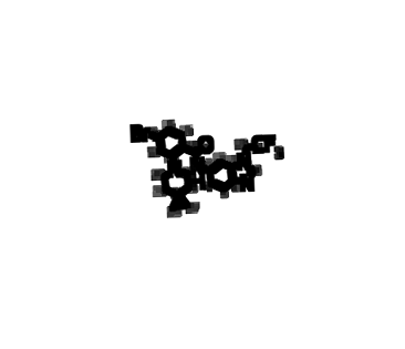 O=C(Nc1ccc2ncn(CC(F)(F)F)c2c1)c1ccc(Br)cc1N1CCC2(CC1)CC2